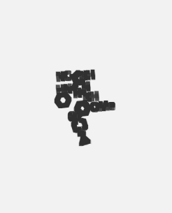 COc1cc(P2(=O)CCN(C3CC3)CC2)ccc1Nc1nc(NC2CCCCC2)c2c(C#N)c[nH]c2n1